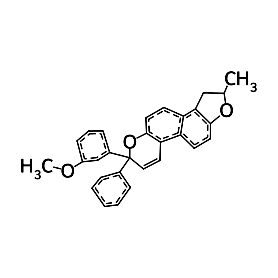 COc1cccc(C2(c3ccccc3)C=Cc3c(ccc4c5c(ccc34)OC(C)C5)O2)c1